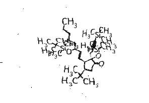 CCCCC[C@@H](C=C[C@@H]1[C@H](C(C)(C)C)CC(=O)[C@]1(CC#C[Si](C)(C)C)O[SiH](C)C)O[Si](C)(C)C(C)(C)C